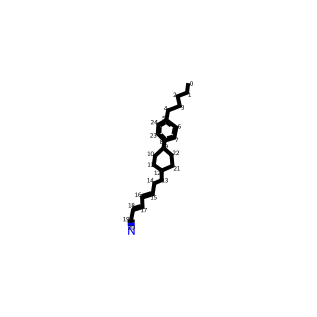 CCCCCc1ccc(C2CCC(CCC=CC=CC#N)CC2)cc1